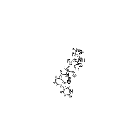 CC(c1cccc(-c2cccnc2)c1)n1c(=O)oc2cc(S(=O)(=O)Nc3ncns3)c(F)cc21